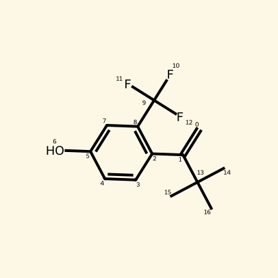 C=C(c1ccc(O)cc1C(F)(F)F)C(C)(C)C